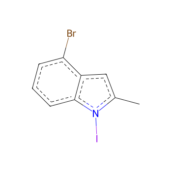 Cc1cc2c(Br)cccc2n1I